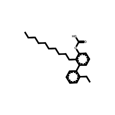 CCCCCCCCCCc1c(OC(=O)O)cccc1-c1ccccc1CC